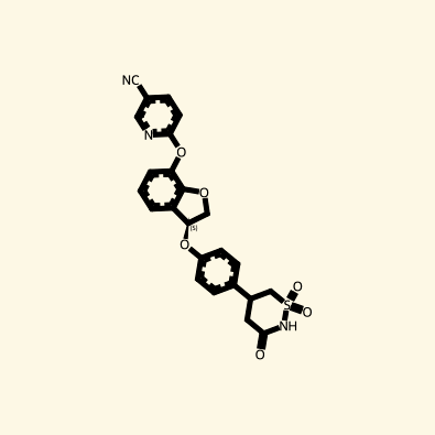 N#Cc1ccc(Oc2cccc3c2OC[C@H]3Oc2ccc(C3CC(=O)NS(=O)(=O)C3)cc2)nc1